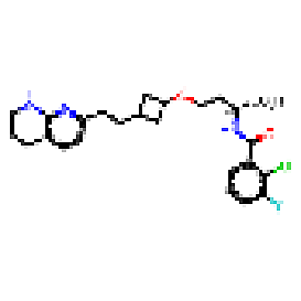 O=C(N[C@@H](CCOC1CC(CCc2ccc3c(n2)NCCC3)C1)C(=O)O)c1cccc(F)c1Cl